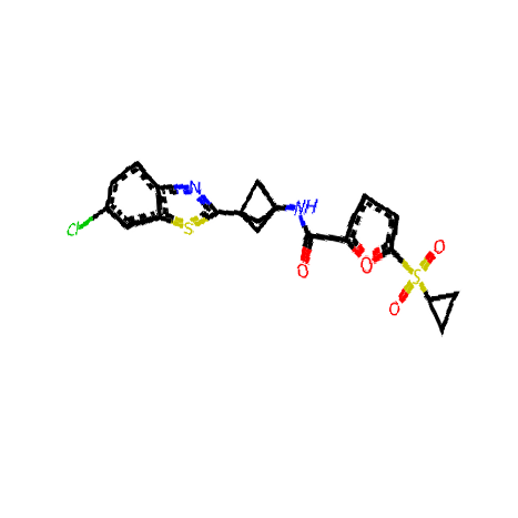 O=C(NC12CC(c3nc4ccc(Cl)cc4s3)(C1)C2)c1ccc(S(=O)(=O)C2CC2)o1